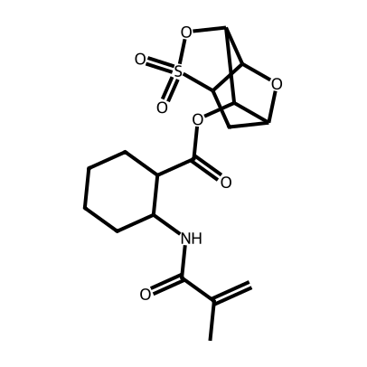 C=C(C)C(=O)NC1CCCCC1C(=O)OC1C2CC3C(O2)C1OS3(=O)=O